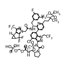 CC(C)(CCc1ccc(-c2ccc(Cl)c3c(N(C(=O)N4CCC[C@H]4CNC(=O)OCOP(=O)(O)O)S(C)(=O)=O)nn(CC(F)(F)F)c23)c([C@H](Cc2cc(F)cc(F)c2)NC(=O)Cn2nc(C(F)(F)F)c3c2C(F)(F)C2C[C@H]32)n1)S(C)(=O)=O